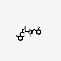 Cc1cccc(C)c1Cc1c[nH]c(-c2nc(Cc3ccccc3Br)c[nH]2)n1